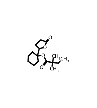 CCC(C)(C)C(=O)OC1(C2CCC(=O)O2)CCCCC1